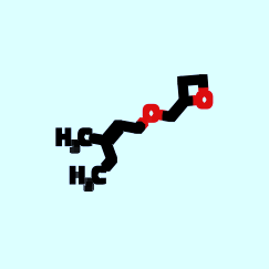 CCC(C)=CCOCC1CCO1